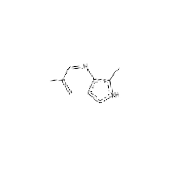 C=C(C)/C=N\c1cc[nH]c1C